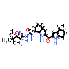 Cc1cccc2[nH]c(C(=O)c3cc4cccc(NC(=O)Nc5cc(C(C)(C)C)on5)c4[nH]3)cc12